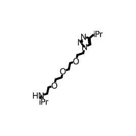 CC(C)NCCOCCOCCOCCn1cc(C(C)C)nn1